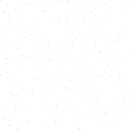 O=C(NS(=O)(=O)c1ccc(F)cc1)c1c(-c2ccc[nH]c2=O)c2cc(Cl)ccc2n1Cc1cc(F)ccc1F